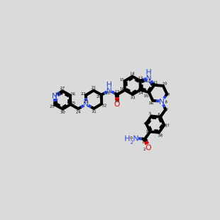 NC(=O)c1ccc(CN2CCc3[nH]c4ccc(C(=O)NC5CCN(Cc6ccncc6)CC5)cc4c3C2)cc1